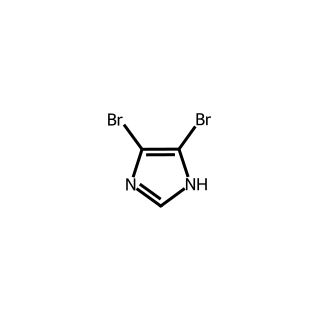 Brc1nc[nH]c1Br